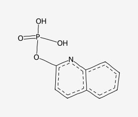 O=P(O)(O)Oc1ccc2ccccc2n1